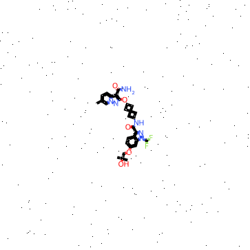 Cc1ccc2c(C(N)=O)c(O[C@H]3CC4(C[C@H](NC(=O)c5nn(C(F)F)c6cc(OCC(C)(C)O)ccc56)C4)C3)nn2c1